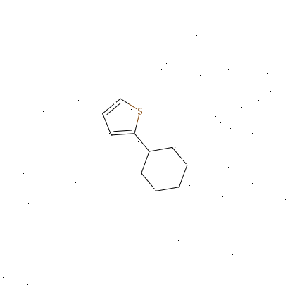 [CH]1CCCCC1c1cccs1